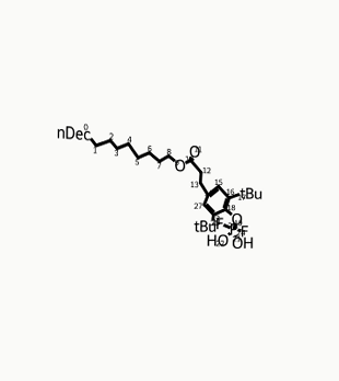 CCCCCCCCCCCCCCCCCCOC(=O)CCc1cc(C(C)(C)C)c(OP(O)(O)(F)F)c(C(C)(C)C)c1